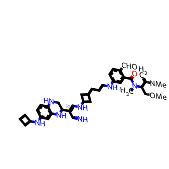 C=C(NC)C(COC)N(C)C(=O)c1cc(NCCCC2CC(N/C=C(\C=N)C3CNc4ccc(NC5CCC5)cc4N3)C2)ccc1C=O